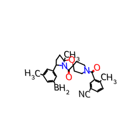 Bc1cc(C)cc(C2CCC3(C)OC4(CCN(C(=O)c5cc(C#N)ccc5C)CC4)C(=O)N23)c1